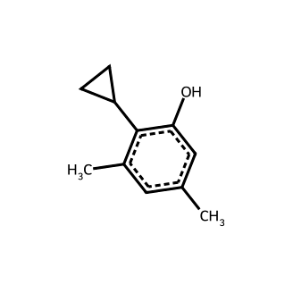 Cc1cc(C)c(C2CC2)c(O)c1